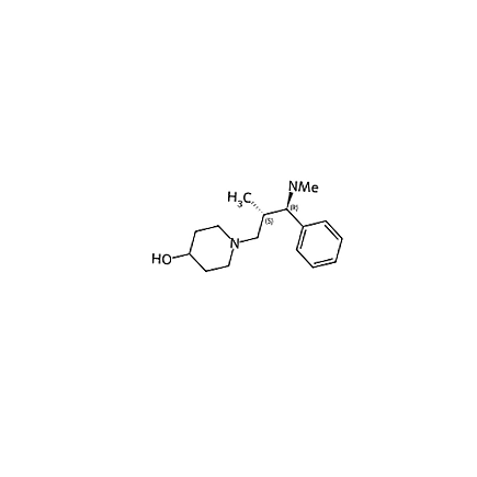 CN[C@@H](c1ccccc1)[C@@H](C)CN1CCC(O)CC1